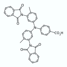 Cc1ccc(N(c2ccc(C(=O)O)cc2)c2ccc(C)c(N3C(=O)c4ccccc4C3=O)c2)cc1N1C(=O)c2ccccc2C1=O